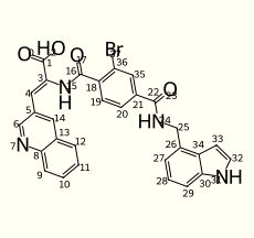 O=C(O)C(=Cc1cnc2ccccc2c1)NC(=O)c1ccc(C(=O)NCc2cccc3[nH]ccc23)cc1Br